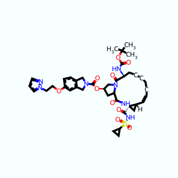 CC(C)(C)OC(=O)N[C@H]1CCCCC/C=C\[C@@H]2C[C@@]2(C(=O)NS(=O)(=O)C2CC2)NC(=O)C2C[C@@H](OC(=O)N3Cc4ccc(OCCn5cccn5)cc4C3)CN2C1=O